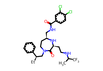 CC[C@H](CN1CC[C@@H](CNC(=O)c2ccc(Cl)c(Cl)c2)N[C@@H](CCNC(C)C(F)(F)F)C1=O)c1ccccc1